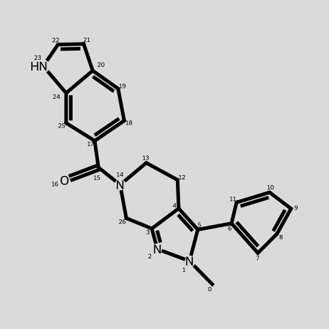 Cn1nc2c(c1-c1ccccc1)CCN(C(=O)c1ccc3cc[nH]c3c1)C2